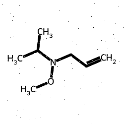 C=CCN(OC)C(C)C